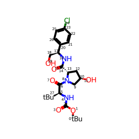 CC(C)(C)OC(=O)N[C@H](C(=O)N1C[C@H](O)C[C@H]1C(=O)N[C@@H](CO)c1ccc(Cl)cc1)C(C)(C)C